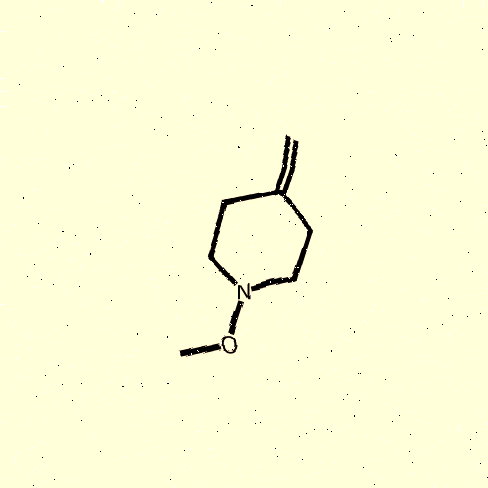 C=C1CCN(OC)CC1